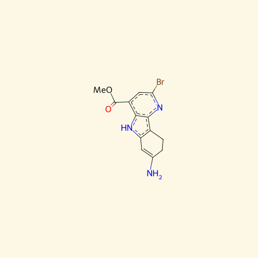 COC(=O)c1cc(Br)nc2c3c([nH]c12)C=C(N)CC3